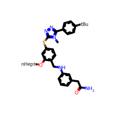 CCCCCCCOc1cc(Sc2nnc(-c3ccc(C(C)(C)C)cc3)n2C)ccc1CNc1cccc(CC(N)=O)c1